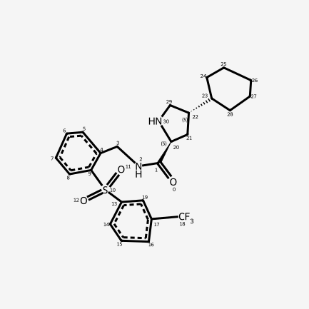 O=C(NCc1ccccc1S(=O)(=O)c1cccc(C(F)(F)F)c1)[C@@H]1C[C@@H](C2CCCCC2)CN1